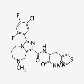 CNC(=O)C(Cc1cscn1)NC(=O)c1nc(-c2cc(Cl)c(F)cc2F)n2c1CN(C)CCC2